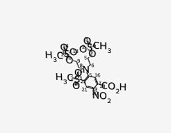 CS(=O)(=O)OCCN(CCOS(C)(=O)=O)c1cc(C(=O)O)c([N+](=O)[O-])cc1S(C)(=O)=O